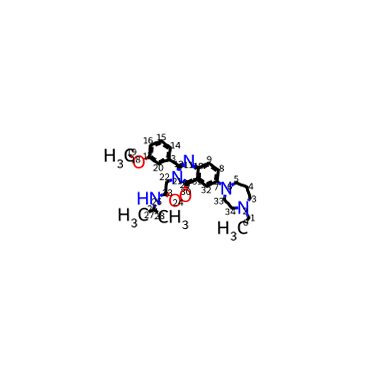 CCN1CCCN(c2ccc3nc(-c4cccc(OC)c4)n(CC(=O)NC(C)C)c(=O)c3c2)CC1